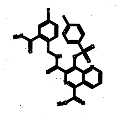 CNC(=O)c1cc(F)ccc1CNC(=O)c1nc(C(=O)OC)c2cccnc2c1OS(=O)(=O)c1ccc(C)cc1